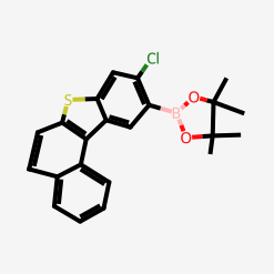 CC1(C)OB(c2cc3c(cc2Cl)sc2ccc4ccccc4c23)OC1(C)C